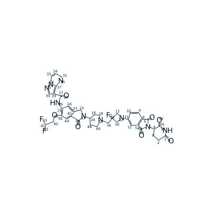 O=C1CCC(N2C(=O)c3ccc(N4CC(F)(CN5CCC(N6Cc7cc(NC(=O)c8cnn9cccnc89)c(OCC(F)F)cc7C6=O)CC5)C4)cc3C2=O)C(=O)N1